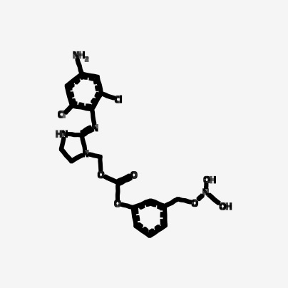 Nc1cc(Cl)c(/N=C2\NCCN2COC(=O)Oc2cccc(CON(O)O)c2)c(Cl)c1